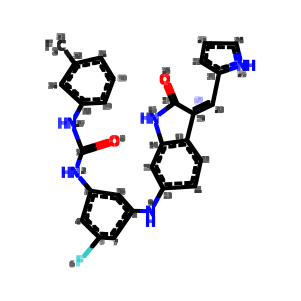 O=C(Nc1cc(F)cc(Nc2ccc3c(c2)NC(=O)/C3=C\c2ccc[nH]2)c1)Nc1cccc(C(F)(F)F)c1